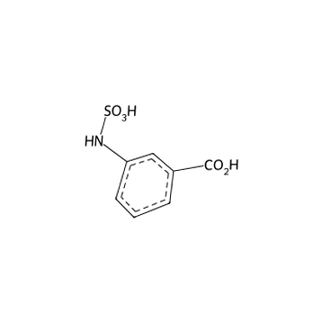 O=C(O)c1cccc(NS(=O)(=O)O)c1